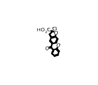 O=C(O)C1(Cl)Cc2cc3c(=O)c4ccccc4oc3cc2O1